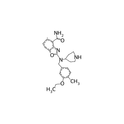 CCOc1cc(CN(c2nc3c(C(N)=O)[c]ccc3o2)C2CCNCC2)ccc1C